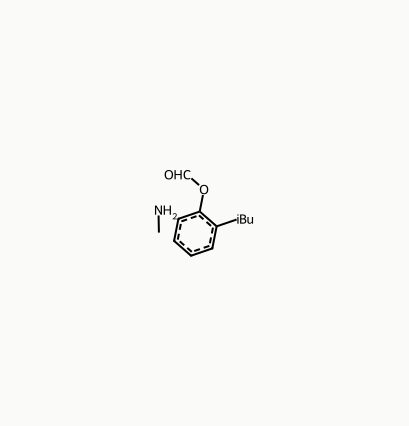 CCC(C)c1ccccc1OC=O.CN